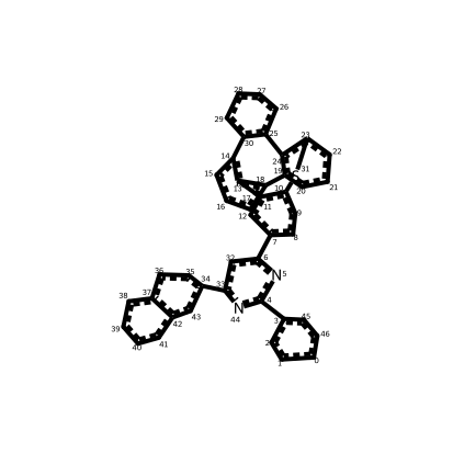 c1ccc(-c2nc(-c3ccc4c(c3)-c3c5cccc3-c3cccc(c3-c3ccccc3-5)S4)cc(-c3ccc4ccccc4c3)n2)cc1